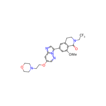 COc1cc(-c2cnc3cc(OCCN4CCOCC4)cnn23)cc2c1C(=O)N(CC(F)(F)F)CC2